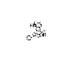 CNc1ccc(C(=O)O)c(C(=O)OCc2ccccc2)c1